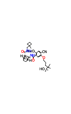 COc1cc(C#N)c(OCCCC(C)(C)C(=O)O)cc1C(=O)N[C@@H]1[C@H]2CC[C@H](C2)[C@@H]1C(=O)NCC1(C)CCC1